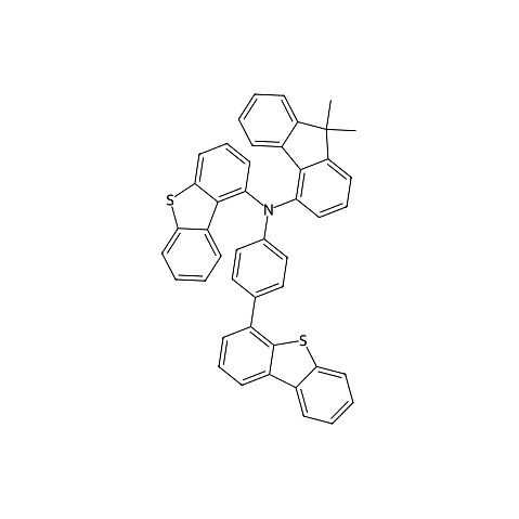 CC1(C)c2ccccc2-c2c(N(c3ccc(-c4cccc5c4sc4ccccc45)cc3)c3cccc4sc5ccccc5c34)cccc21